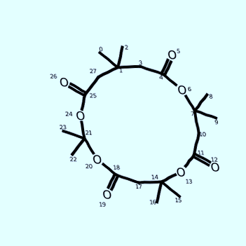 CC1(C)CC(=O)OC(C)(C)CC(=O)OC(C)(C)CC(=O)OC(C)(C)OC(=O)C1